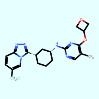 CCOC(=O)c1ccc2nnc([C@H]3CCC[C@@H](Nc4ncc(C(F)(F)F)c(OC5COC5)n4)C3)n2c1